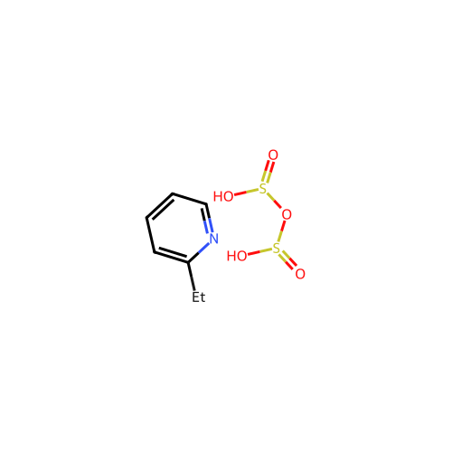 CCc1ccccn1.O=S(O)OS(=O)O